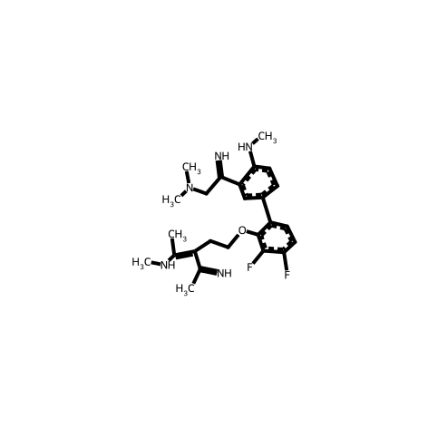 CN/C(C)=C(/CCOc1c(-c2ccc(NC)c(C(=N)CN(C)C)c2)ccc(F)c1F)C(C)=N